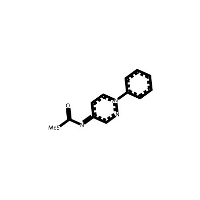 CSC(=O)N=c1ccn(-c2ccccc2)nc1